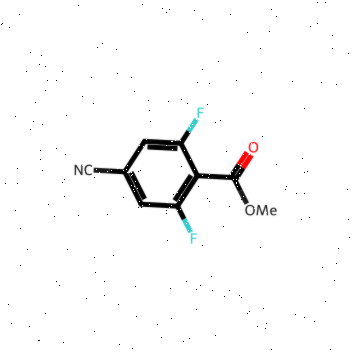 COC(=O)c1c(F)cc(C#N)cc1F